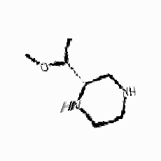 COC(C)[C@@H]1CNCCN1